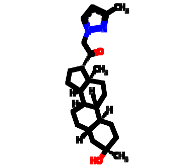 Cc1ccn(CC(=O)[C@H]2CC[C@H]3[C@@H]4CC[C@H]5C[C@](C)(O)CC[C@@H]5[C@H]4CC[C@]23C)n1